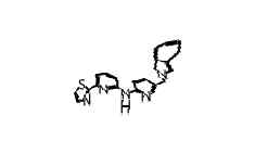 C1=CCC2=CN(Cc3ccc(Nc4cccc(-c5nccs5)n4)nc3)CC2=C1